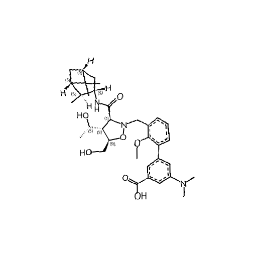 COc1c(CN2O[C@@H](CO)[C@H]([C@H](C)O)[C@H]2C(=O)N[C@H]2C[C@H]3C[C@@H]([C@@H]2C)C3(C)C)cccc1-c1cc(C(=O)O)cc(N(C)C)c1